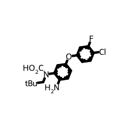 CC(C)(C)CN(C(=O)O)c1cc(Oc2ccc(Cl)c(F)c2)ccc1N